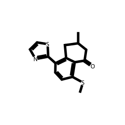 CSc1ccc(-c2nccs2)c2c1C(=O)CC(C)C2